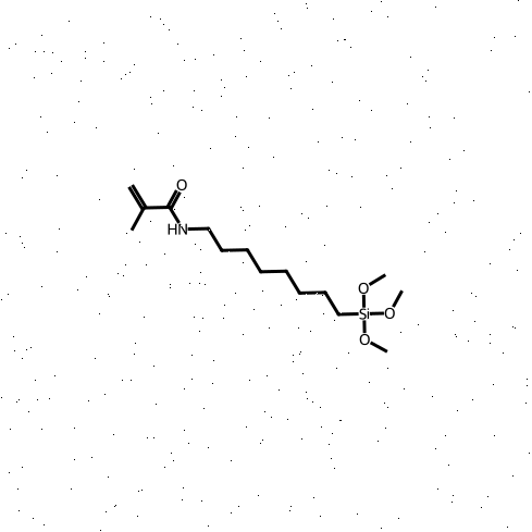 C=C(C)C(=O)NCCCCCCCC[Si](OC)(OC)OC